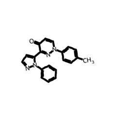 Cc1ccc(-n2ccc(=O)c(-c3ccnn3-c3ccccc3)n2)cc1